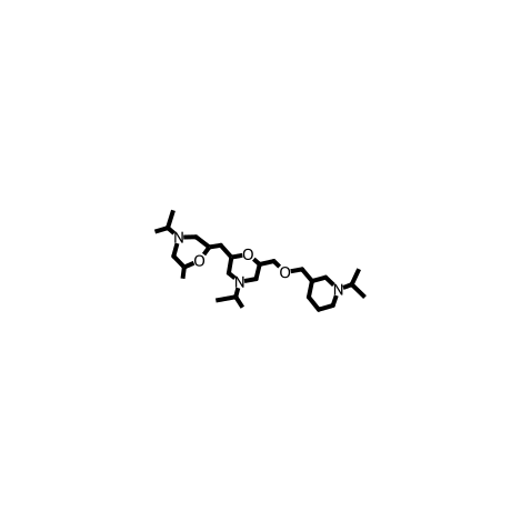 CC1CN(C(C)C)CC(CC2CN(C(C)C)CC(COCC3CCCN(C(C)C)C3)O2)O1